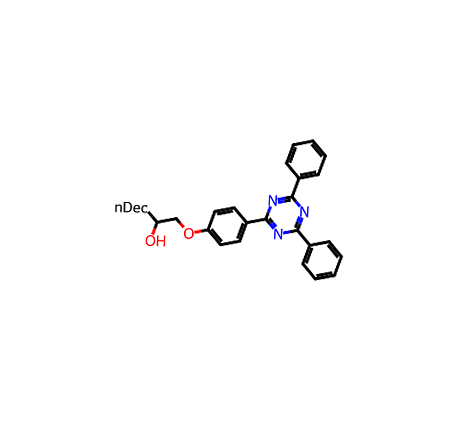 CCCCCCCCCCC(O)COc1ccc(-c2nc(-c3ccccc3)nc(-c3ccccc3)n2)cc1